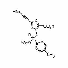 COP(=O)(Cc1cc(C#CC(C)(C)C)sc1C(=O)O)c1ccc(C)cc1